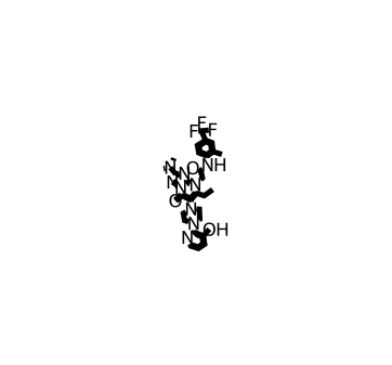 CCc1c(N2CCN(c3ncccc3O)CC2)c(=O)n2nc(N(C)C)nc2n1CC(=O)Nc1ccc(C(F)(F)F)cc1C